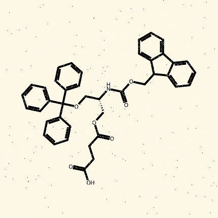 O=C(O)CCC(=O)OC[C@H](COC(c1ccccc1)(c1ccccc1)c1ccccc1)NC(=O)OCC1c2ccccc2-c2ccccc21